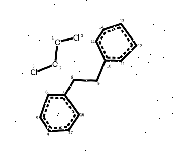 ClOOCl.c1ccc(CCc2ccccc2)cc1